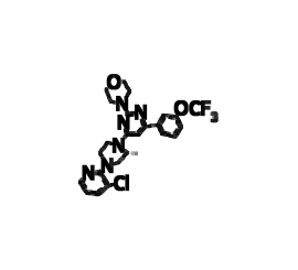 C[C@@H]1CN(c2ncccc2Cl)CCN1c1cc(-c2cccc(OC(F)(F)F)c2)nc(N2CCOCC2)n1